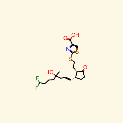 CC(O)(CC=C[C@H]1CCC(=O)[C@@H]1CCSc1nc(C(=O)O)cs1)CCCC(F)F